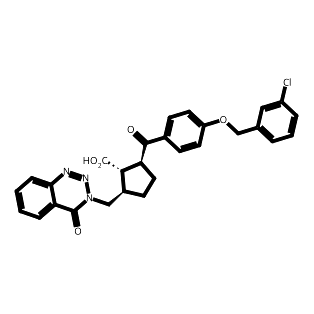 O=C(O)[C@H]1[C@H](Cn2nnc3ccccc3c2=O)CC[C@@H]1C(=O)c1ccc(OCc2cccc(Cl)c2)cc1